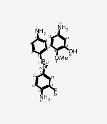 CCC(C)c1ccc(N)cc1.COc1ccc(N)cc1O.Nc1ccc(Br)cc1F